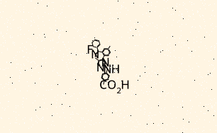 Cc1ccc2c(c1)C(C1=CC=CCC1F)=NCc1cnc(Nc3ccc(C(=O)O)cc3)nc1-2